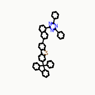 c1ccc(-c2nc(-c3ccccc3)nc(-c3cccc4cc(-c5ccc6c(c5)sc5cc(C7(c8ccccc8)c8ccccc8-c8ccccc87)ccc56)ccc34)n2)cc1